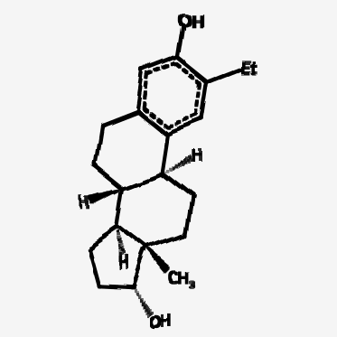 CCc1cc2c(cc1O)CC[C@@H]1[C@@H]2CC[C@]2(C)[C@H](O)CC[C@@H]12